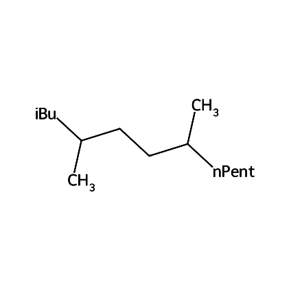 CCCCCC(C)CCC(C)C(C)CC